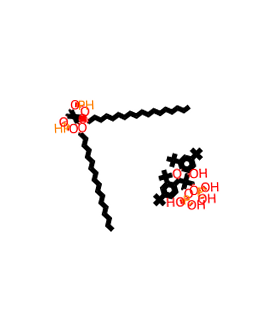 CC(C)(C)c1ccc(OC(c2ccc(C(C)(C)C)cc2C(C)(C)C)C(CO)(COP(O)O)COP(O)O)c(C(C)(C)C)c1.CCCCCCCCCCCCCCCCCCOC1(OCCCCCCCCCCCCCCCCCC)OPOCC12COPOC2